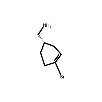 NC[C@@H]1CC=C(Br)CC1